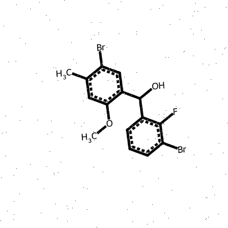 COc1cc(C)c(Br)cc1C(O)c1cccc(Br)c1F